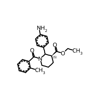 CCOC(=O)[C@H]1CCCN(C(=O)c2ccccc2C)C1c1ccc(N)cc1